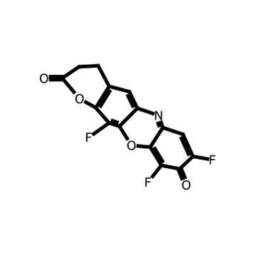 O=C1CCc2cc3nc4cc(F)c(=O)c(F)c-4oc3c(F)c2O1